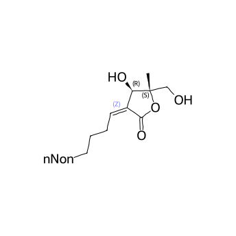 CCCCCCCCCCCC/C=C1\C(=O)O[C@@](C)(CO)[C@@H]1O